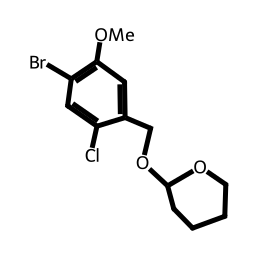 COc1cc(COC2CCCCO2)c(Cl)cc1Br